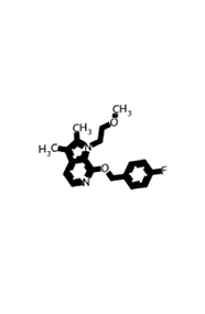 COCCn1c(C)c(C)c2ccnc(OCc3ccc(F)cc3)c21